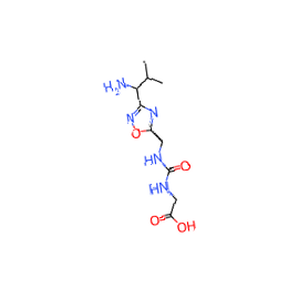 CC(C)C(N)c1noc(CNC(=O)NCC(=O)O)n1